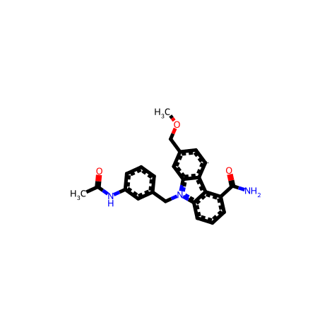 COCc1c[c]c2c3c(C(N)=O)cccc3n(Cc3cccc(NC(C)=O)c3)c2c1